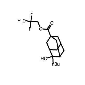 CCCCC1(O)C2CC3CC1CC(C(=O)OCC(C)(F)F)(C3)C2